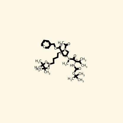 CC(=O)N1C[C@H](N(C)C(=O)[C@@H](NC(=O)OC(C)(C)C)C(C)C)C[C@]1(CCCCB1OC(C)(C)C(C)(C)O1)C(=O)OCc1ccccc1